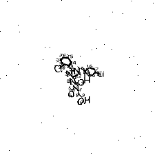 CN(C(=O)N(C=O)CCCO)c1cn(CC2C=CC(Cl)=CN2)c(-c2ccccc2Cl)n1